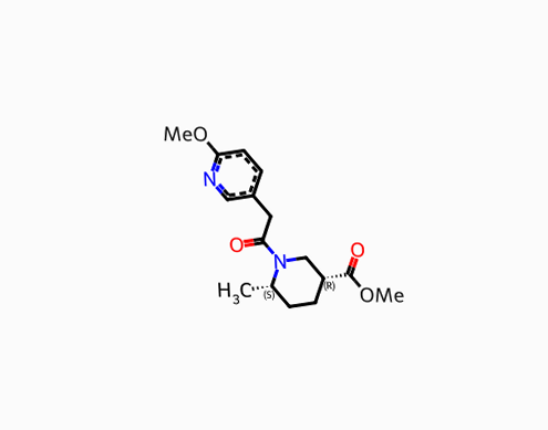 COC(=O)[C@@H]1CC[C@H](C)N(C(=O)Cc2ccc(OC)nc2)C1